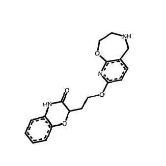 O=C1Nc2ccccc2OC1CCOc1ccc2c(n1)OCCNC2